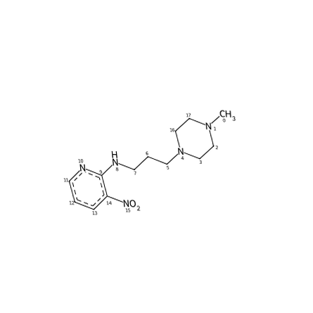 CN1CCN(CCCNc2ncccc2[N+](=O)[O-])CC1